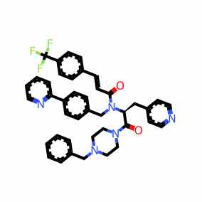 O=C([C@H](Cc1ccncc1)N(Cc1ccc(-c2ccccn2)cc1)C(=O)/C=C/c1ccc(C(F)(F)F)cc1)N1CCN(Cc2ccccc2)CC1